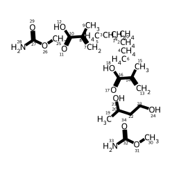 C.C.C.C.C.C.C.C=C(C)C(=O)O.C=C(C)C(=O)O.CC(O)CCO.COC(N)=O.COC(N)=O